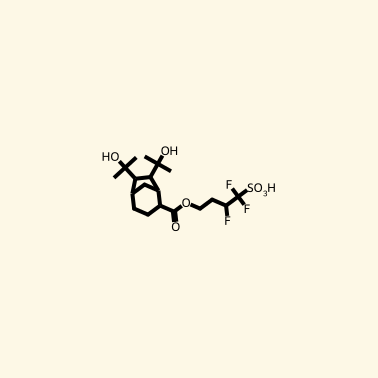 CC(C)(O)C1C2CCC(C(=O)OCCC(F)C(F)(F)S(=O)(=O)O)C(C2)C1C(C)(C)O